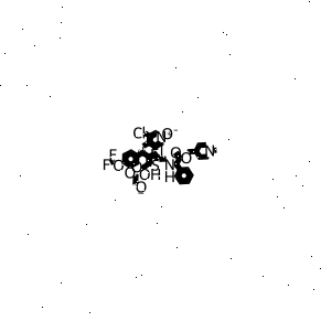 COCCOc1cc([C@H](Cc2c(Cl)c[n+]([O-])cc2Cl)c2cc(CNC(C(=O)OCC3CCN(C)CC3)c3ccccc3)sc2C(=O)O)ccc1OC(F)F